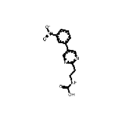 O=C(O)NCCc1ncc(-c2cccc([N+](=O)[O-])c2)cn1